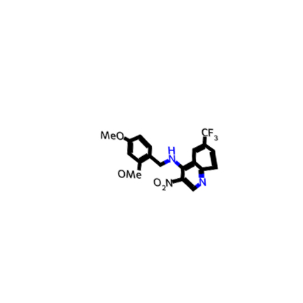 COc1ccc(CNc2c([N+](=O)[O-])cnc3ccc(C(F)(F)F)cc23)c(OC)c1